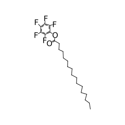 CCCCCCCCCCCCCCCCC(=O)Oc1c(F)c(F)c(F)c(F)c1F